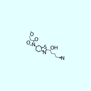 COCC1OCN(c2ccc3nc(C(O)CCCC#N)sc3c2)C1=O